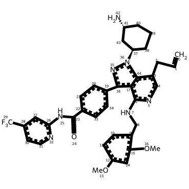 C=CCc1cnc(NCc2ccc(OC)cc2OC)c2c(-c3ccc(C(=O)Nc4cc(C(F)(F)F)ccn4)cc3)nn([C@@H]3CCC[C@@H](N)C3)c12